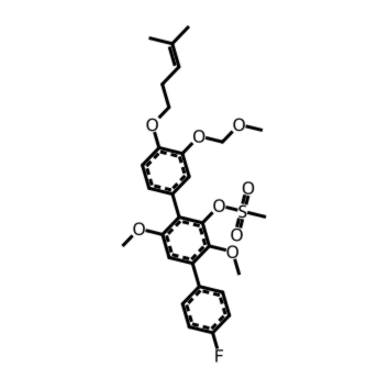 COCOc1cc(-c2c(OC)cc(-c3ccc(F)cc3)c(OC)c2OS(C)(=O)=O)ccc1OCCC=C(C)C